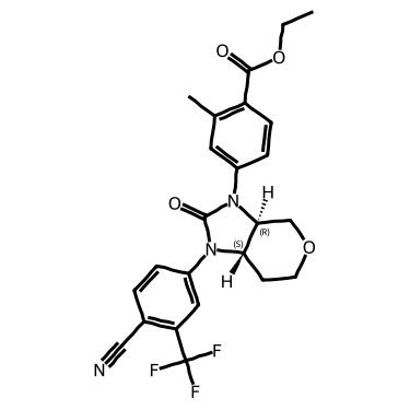 CCOC(=O)c1ccc(N2C(=O)N(c3ccc(C#N)c(C(F)(F)F)c3)[C@H]3CCOC[C@@H]32)cc1C